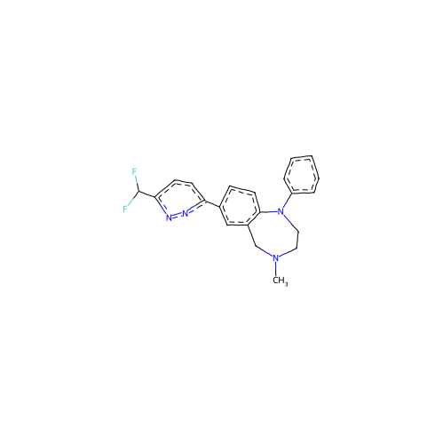 CN1CCN(c2ccccc2)c2ccc(-c3ccc(C(F)F)nn3)cc2C1